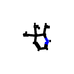 CC(C)(C)C1N=CC=CC1(C)C(C)(C)C